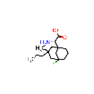 CCCC1(C)CC2(F)CCCC([C@H](N)C(=O)O)(C1)C2